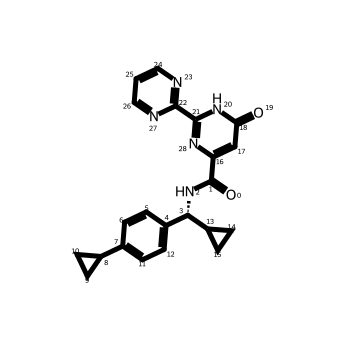 O=C(N[C@@H](c1ccc(C2CC2)cc1)C1CC1)c1cc(=O)[nH]c(-c2ncccn2)n1